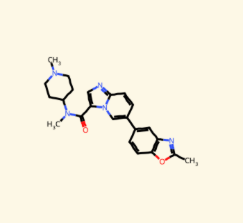 Cc1nc2cc(-c3ccc4ncc(C(=O)N(C)C5CCN(C)CC5)n4c3)ccc2o1